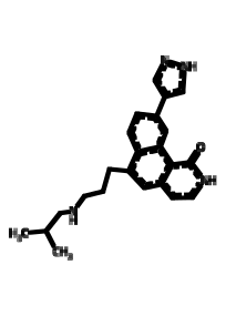 CC(C)CNCCCc1cc2cc[nH]c(=O)c2c2cc(-c3cn[nH]c3)ccc12